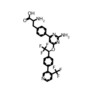 Nc1nc(O[C@@H](c2ccc(-c3cnccc3C(F)(F)F)cc2)C(F)(F)F)cc(-c2ccc(CC(N)C(=O)O)cc2)n1